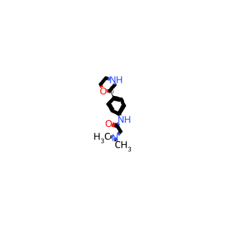 CN(C)CC(=O)Nc1ccc([C@H]2CNCCO2)cc1